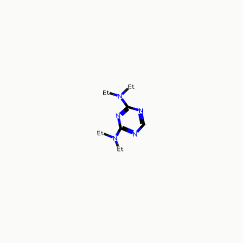 CCN(CC)c1n[c]nc(N(CC)CC)n1